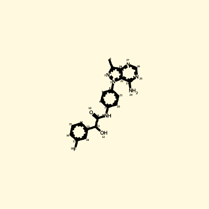 Cc1nn(-c2ccc(NC(=O)C(O)c3cccc(F)c3)cc2)c2c(N)ncnc12